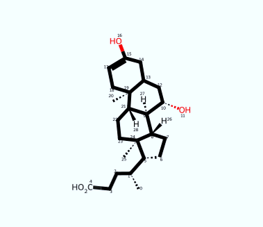 C[C@H](CCC(=O)O)[C@H]1CC[C@H]2[C@@H]3[C@@H](O)CC4CC(O)=CC[C@]4(C)[C@H]3CC[C@]12C